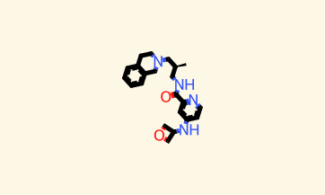 C[C@@H](CNC(=O)c1cc(NC2COC2)ccn1)CN1CCc2ccccc2C1